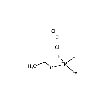 CC[O][Ti+3]([F])([F])[F].[Cl-].[Cl-].[Cl-]